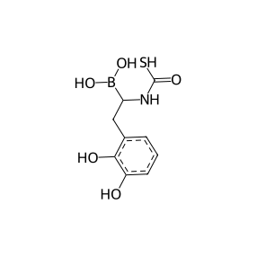 O=C(S)NC(Cc1cccc(O)c1O)B(O)O